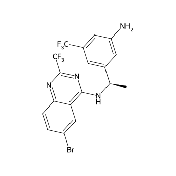 C[C@@H](Nc1nc(C(F)(F)F)nc2ccc(Br)cc12)c1cc(N)cc(C(F)(F)F)c1